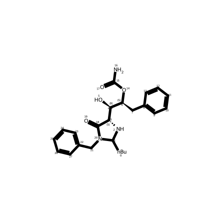 CCCCC1N[C@@H]([C@@H](O)[C@H](Cc2ccccc2)OC(N)=O)C(=O)N1Cc1ccccc1